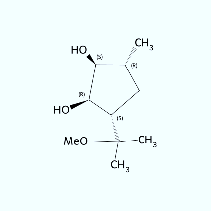 COC(C)(C)[C@H]1C[C@@H](C)[C@H](O)[C@@H]1O